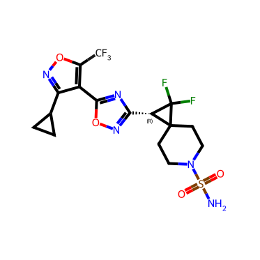 NS(=O)(=O)N1CCC2(CC1)[C@H](c1noc(-c3c(C4CC4)noc3C(F)(F)F)n1)C2(F)F